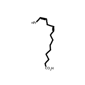 CCC/C=C\C/C=C\CCCCCCCC(=O)O